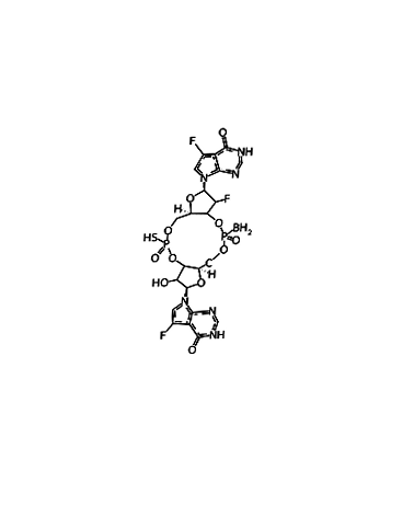 BP1(=O)OC[C@H]2O[C@@H](n3cc(F)c4c(=O)[nH]cnc43)C(O)C2OP(=O)(S)OC[C@H]2O[C@@H](n3cc(F)c4c(=O)[nH]cnc43)C(F)C2O1